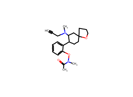 C#CCN(C)C1CC2(CCCO2)CCC1c1ccccc1ON(C)C(C)=O